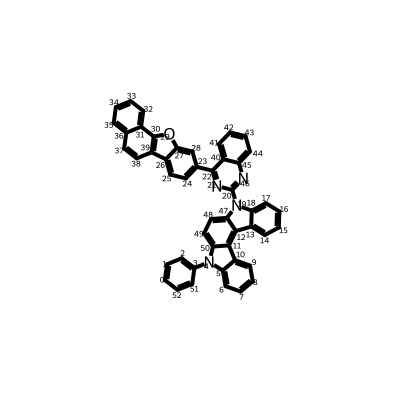 c1ccc(-n2c3ccccc3c3c4c5ccccc5n(-c5nc(-c6ccc7c(c6)oc6c8ccccc8ccc76)c6ccccc6n5)c4ccc32)cc1